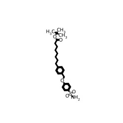 CC(C)(C)OC(=O)CCCCCCCc1ccc(COc2ccc(S(N)(=O)=O)cc2)cc1